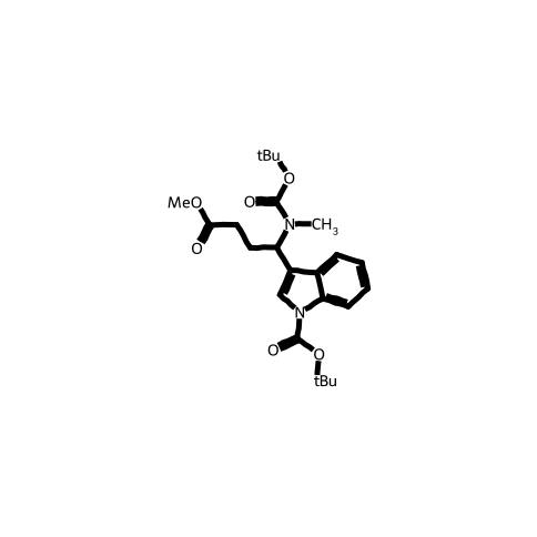 COC(=O)CCC(c1cn(C(=O)OC(C)(C)C)c2ccccc12)N(C)C(=O)OC(C)(C)C